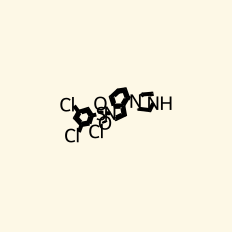 O=S(=O)(c1cc(Cl)cc(Cl)c1Cl)n1ccc2c(N3CCNCC3)cccc21